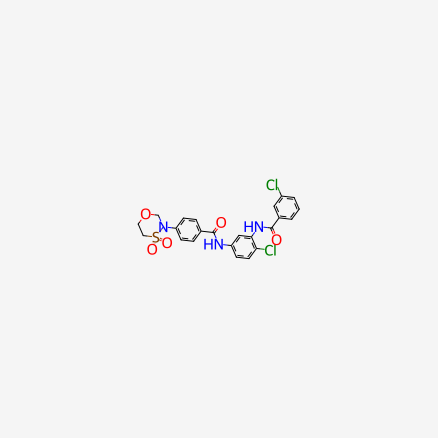 O=C(Nc1ccc(Cl)c(NC(=O)c2cccc(Cl)c2)c1)c1ccc(N2COCCS2(=O)=O)cc1